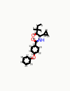 CCC(C)(C)C(=O)[C@@H](NC(=O)c1ccc(Oc2ccccc2)cc1)C1CC1